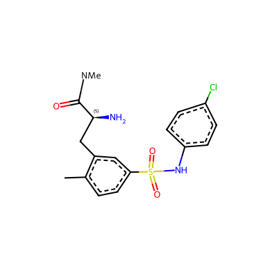 CNC(=O)[C@@H](N)Cc1cc(S(=O)(=O)Nc2ccc(Cl)cc2)ccc1C